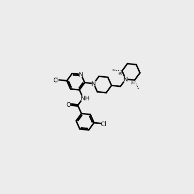 C[C@@H]1CCC[C@H](C)N1CC1CCN(c2ncc(Cl)cc2NC(=O)c2cccc(Cl)c2)CC1